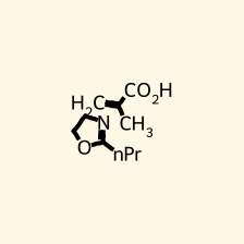 C=C(C)C(=O)O.CCCC1=NCCO1